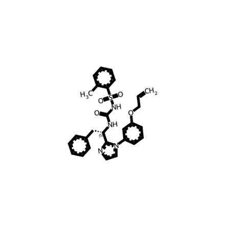 C=CCOc1cccc(-n2ccnc2[C@H](Cc2ccccc2)NC(=O)NS(=O)(=O)c2ccccc2C)c1